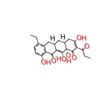 CCC(=O)C1=C(O)C[C@@H]2C[C@@H]3Cc4c(CC)ccc(O)c4C(=O)C3=C(O)[C@]2(O)C1=O